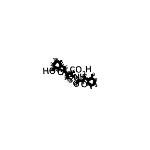 Cc1cccc2oc(C(=O)Nc3scc(-c4cc5cccc(O)c5o4)c3C(=O)O)cc12